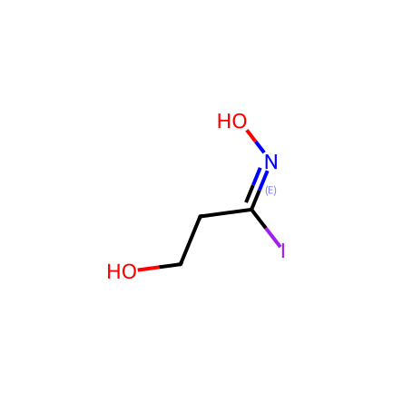 OCC/C(I)=N\O